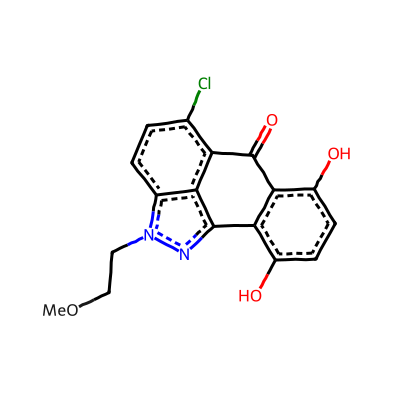 COCCn1nc2c3c(c(Cl)ccc31)C(=O)c1c(O)ccc(O)c1-2